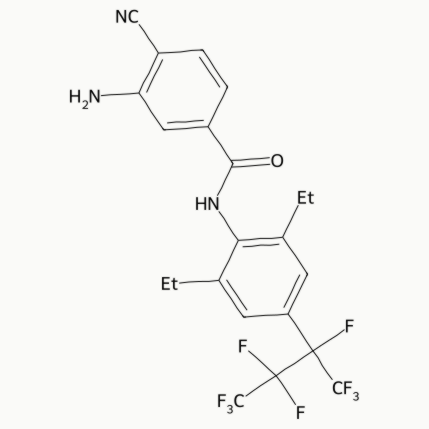 CCc1cc(C(F)(C(F)(F)F)C(F)(F)C(F)(F)F)cc(CC)c1NC(=O)c1ccc(C#N)c(N)c1